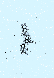 Cc1nc2ccc(-c3cc(C)c4c(c3)CN(C(=O)N3CCC5CCCCC5C3)CCO4)cc2[nH]1